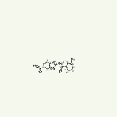 O=C(O)c1ccc2nc(NC(=O)c3cccc(F)c3)sc2c1